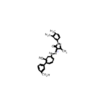 CC1=NN(c2ccc(C)c(C)c2)C(=O)/C1=N\NC1=CC=CC(c2cccc(C(=O)O)c2)=C(O)C1